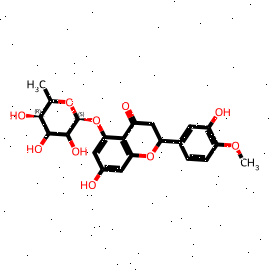 COc1ccc(C2CC(=O)c3c(cc(O)cc3O[C@@H]3OC(C)[C@H](O)C(O)C3O)O2)cc1O